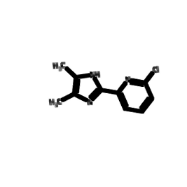 Cc1nc(-c2cccc(Cl)n2)[nH]c1C